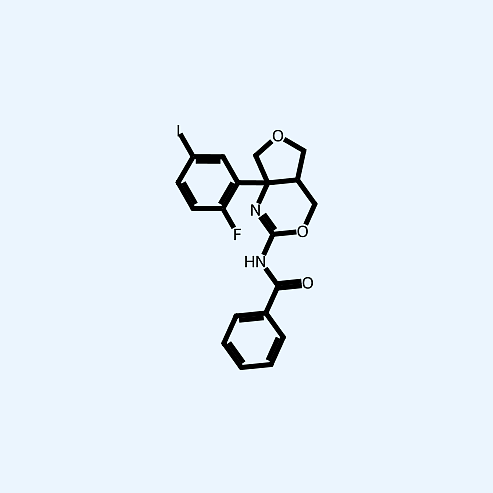 O=C(NC1=NC2(c3cc(I)ccc3F)COCC2CO1)c1ccccc1